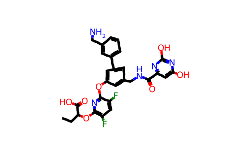 CCC(Oc1nc(Oc2cc(CNC(=O)c3cc(O)nc(O)n3)cc(-c3cccc(CN)c3)c2)c(F)cc1F)C(=O)O